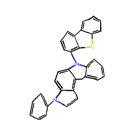 c1ccc(-n2ccc3c4c5ccccc5n(-c5cccc6c5sc5ccccc56)c4ccc32)cc1